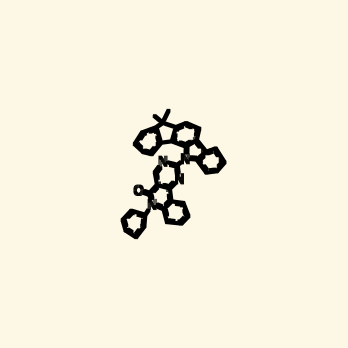 CC1(C)c2ccccc2-c2c1ccc1c3ccccc3n(-c3ncc4c(=O)n(-c5ccccc5)c5ccccc5c4n3)c21